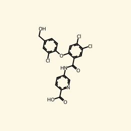 O=C(O)c1ccc(NC(=O)c2cc(Cl)c(Cl)cc2Oc2ccc(CO)cc2Cl)cn1